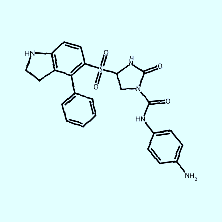 Nc1ccc(NC(=O)N2CC(S(=O)(=O)c3ccc4c(c3-c3ccccc3)CCN4)NC2=O)cc1